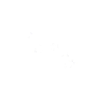 CCN(CC)C(=O)c1cc2nccc(Oc3ccc(CC(=O)Nc4cc(C)ccn4)cc3)c2s1